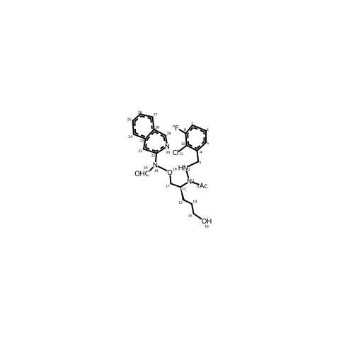 CC(=O)N(NCc1cccc(F)c1Cl)[C@@H](CCCO)CON(C=O)c1cc2ccccc2cn1